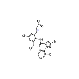 CCc1cc(Cl)cc(/C=C/C(=O)O)c1NC(=O)c1cc(Br)nn1-c1ncccc1Cl